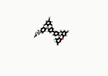 CCO[Si](C)(C)c1ccc(N(c2ccc(-c3ccc(N(c4c(C)cc(C)cc4C)c4c(C)cc(C)cc4C)cc3)cc2)c2c(C)cc(C)cc2C)cc1